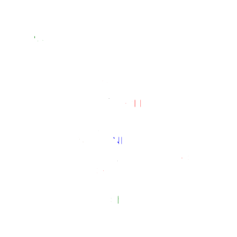 COc1ccc(Cl)c(C(=O)Nc2scc(-c3ccc(Cl)cc3)c2C(=O)O)c1